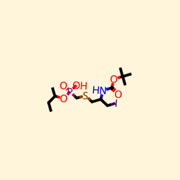 CCC(C)OP(=O)(O)CSCC(CI)NC(=O)OC(C)(C)C